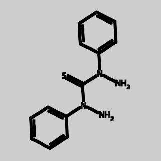 NN(C(=S)N(N)c1ccccc1)c1ccccc1